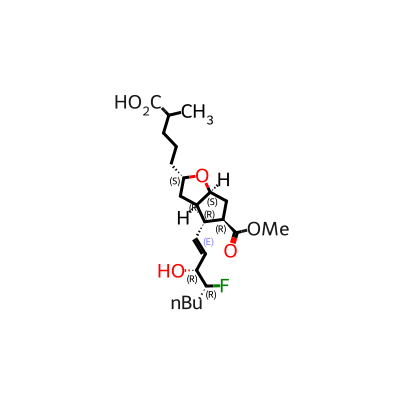 CCCC[C@@H](F)[C@H](O)/C=C/[C@@H]1[C@H]2C[C@H](CCCC(C)C(=O)O)O[C@H]2C[C@H]1C(=O)OC